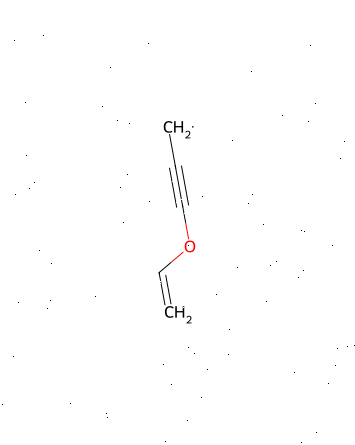 [CH2]C#COC=C